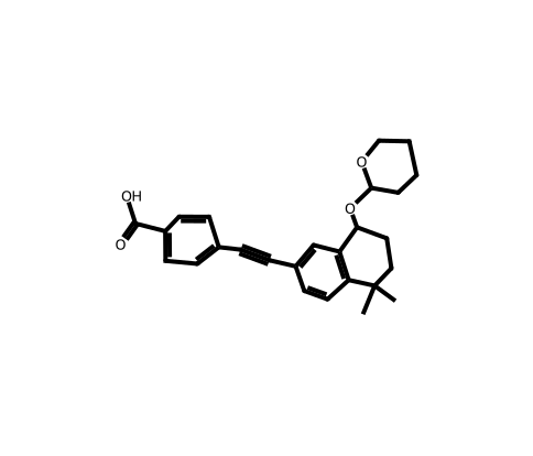 CC1(C)CCC(OC2CCCCO2)c2cc(C#Cc3ccc(C(=O)O)cc3)ccc21